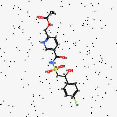 CC(=O)OCc1ccc(C(=O)NS(=O)(=O)CC(O)c2ccc(F)cc2)cn1